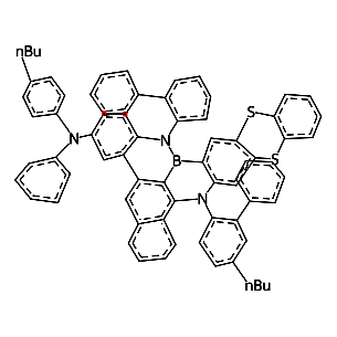 CCCCc1ccc(N(c2ccccc2)c2ccc3c(c2)-c2cc4ccccc4c4c2B(c2cc5c(cc2N4c2ccc(CCCC)cc2-c2ccccc2)Sc2ccccc2S5)N3c2ccccc2-c2ccccc2)cc1